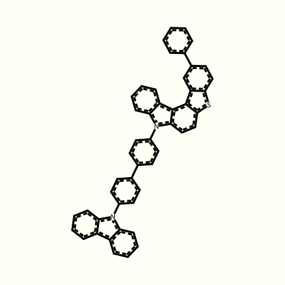 c1ccc(-c2ccc3sc4ccc5c(c6ccccc6n5-c5ccc(-c6ccc(-n7c8ccccc8c8ccccc87)cc6)cc5)c4c3c2)cc1